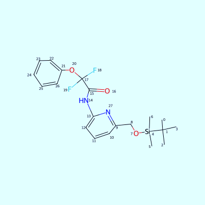 CC(C)(C)[Si](C)(C)OCc1cccc(NC(=O)C(F)(F)Oc2ccccc2)n1